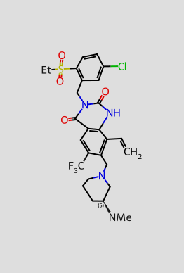 C=Cc1c(CN2CCC[C@H](NC)C2)c(C(F)(F)F)cc2c(=O)n(Cc3cc(Cl)ccc3S(=O)(=O)CC)c(=O)[nH]c12